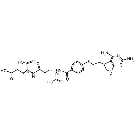 Nc1nc(N)c2c(n1)NCC2CCSc1ccc(C(=O)N[C@@H](CCC(=O)N[C@@H](CCC(=O)O)C(=O)O)C(=O)O)cc1